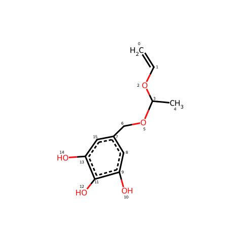 C=COC(C)OCc1cc(O)c(O)c(O)c1